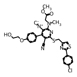 [C-]#[N+]c1c(N(C)CC(=O)OC)nc(SCc2csc(-c3ccc(Cl)cc3)n2)c(C#N)c1-c1ccc(OCCO)cc1